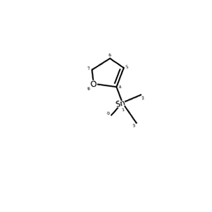 [CH3][Sn]([CH3])([CH3])[C]1=CCCO1